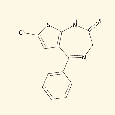 S=C1CN=C(c2ccccc2)c2cc(Cl)sc2N1